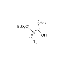 CCCCCCC(O)/C(=C\I)C(=O)OCC